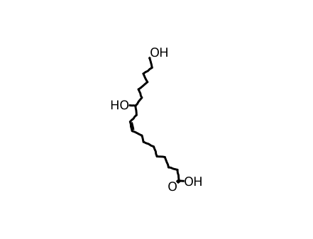 O=C(O)CCCCCCC/C=C\CC(O)CCCCCCO